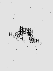 Cc1cc(C)c2oc(Nc3ccc(-c4nn([C@H]5CC[C@H](CN(C)C(=O)O)CC5)c5ncnc(N)c45)cc3F)nc2c1